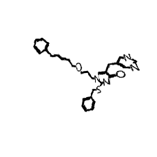 O=c1nc(SCc2ccccc2)n(CCCOCCCCCc2ccccc2)cc1Cc1cncnc1